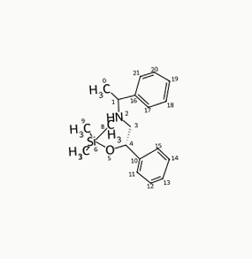 CC(NC[C@@H](O[Si](C)(C)C)c1ccccc1)c1ccccc1